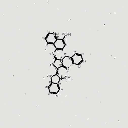 CN1/C(=C2/SC(=Nc3ccc(O)c4ncccc34)N(Cc3ccccc3)C2=O)Sc2ccccc21